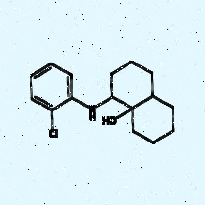 OC12CCCCC1CCCC2Nc1ccccc1Cl